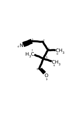 CC(CC#N)C(C)(C)[C]=O